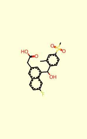 Cc1cc(S(C)(=O)=O)ccc1C(O)c1cc(CC(=O)O)cc2ccc(F)cc12